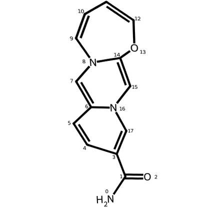 NC(=O)c1ccc2cn3ccccoc-3cn2c1